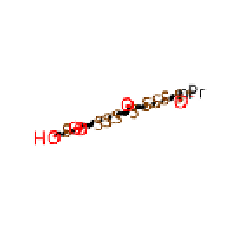 CCC[S+]([O-])CCSCSCSCCSC(=O)CCSCSCSCCCOOCSCCO